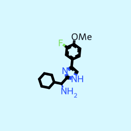 COc1ccc(-c2c[nH]c([C@@H](N)C3CCCCC3)n2)cc1F